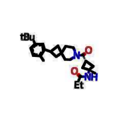 CCC(=O)N[C@]1(C)C[C@H](C(=O)N2CCC3(CC2)CC(c2cc(C(C)(C)C)ccc2C)C3)C1